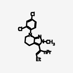 CCC=C(CCC)c1c2c(nn1C)N(c1ccc(Cl)cc1Cl)CCC2